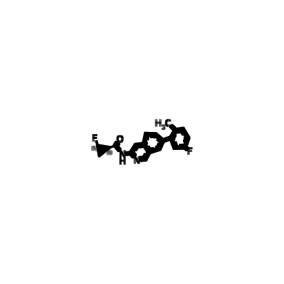 Cc1ccc(F)cc1-c1ccc2cc(NC(=O)[C@@H]3C[C@@H]3F)ncc2c1